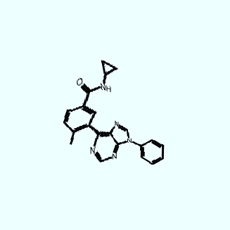 Cc1ccc(C(=O)NC2CC2)cc1-c1ncnc2c1ncn2-c1ccccc1